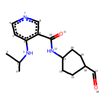 CC(C)Nc1ccncc1C(=O)NC1CCC(C=O)CC1